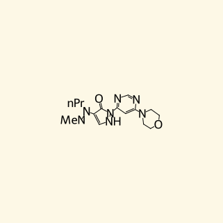 CCCN(NC)c1c[nH]n(-c2cc(N3CCOCC3)ncn2)c1=O